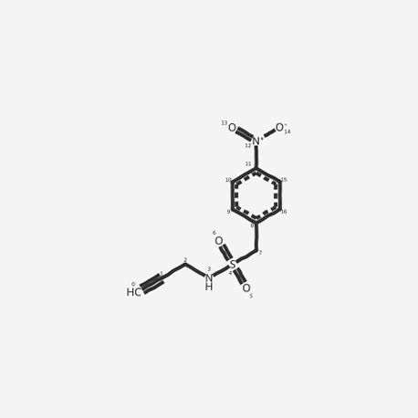 C#CCNS(=O)(=O)Cc1ccc([N+](=O)[O-])cc1